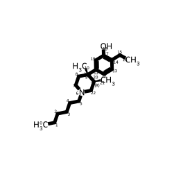 CCCCCCN1CC[C@](C)(c2ccc(CC)c(O)c2)[C@@H](C)C1